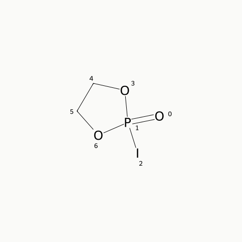 O=P1(I)OCCO1